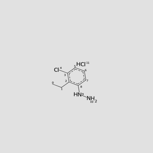 CCc1c(Cl)cccc1NN.Cl